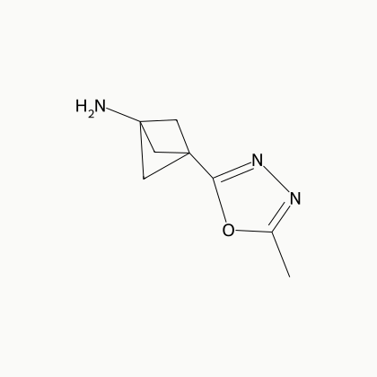 Cc1nnc(C23CC(N)(C2)C3)o1